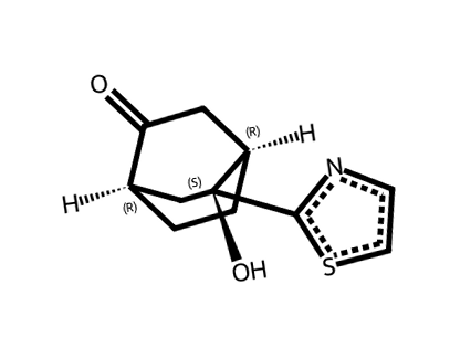 O=C1C[C@H]2CC[C@@H]1C[C@@]2(O)c1nccs1